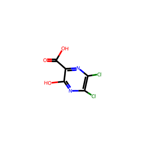 O=C(O)c1nc(Cl)c(Cl)nc1O